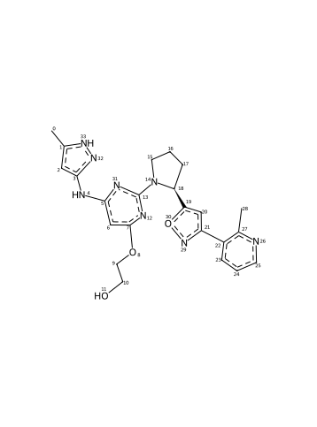 Cc1cc(Nc2cc(OCCO)nc(N3CCC[C@H]3c3cc(-c4cccnc4C)no3)n2)n[nH]1